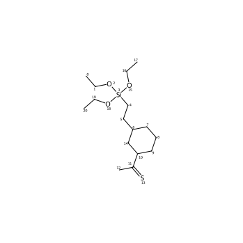 CCO[Si](CCC1CCCC(C(C)=S)C1)(OCC)OCC